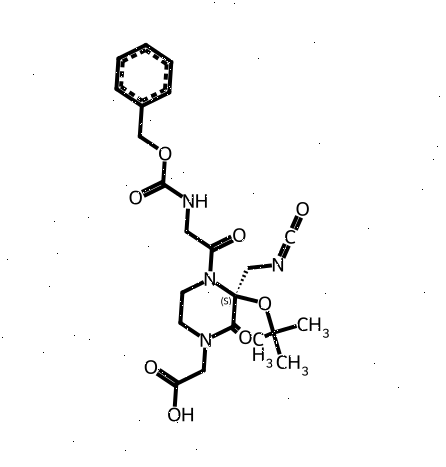 CC(C)(C)O[C@@]1(CN=C=O)C(=O)N(CC(=O)O)CCN1C(=O)CNC(=O)OCc1ccccc1